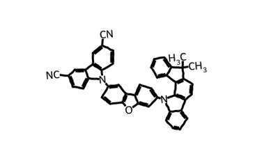 CC1(C)c2ccccc2-c2c1ccc1c3ccccc3n(-c3ccc4c(c3)oc3ccc(-n5c6ccc(C#N)cc6c6cc(C#N)ccc65)cc34)c21